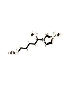 CCCCCCCCCCCCCC[C@@H](C(C)C)n1cc[n+](CCC)c1